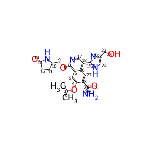 CC(C)Oc1cc2c(OCC3CCC(=O)N3)ncc(-c3nc(CO)c[nH]3)c2cc1C(N)=O